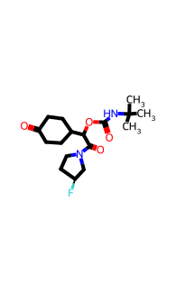 CC(C)(C)NC(=O)OC(C(=O)N1CC[C@H](F)C1)C1CCC(=O)CC1